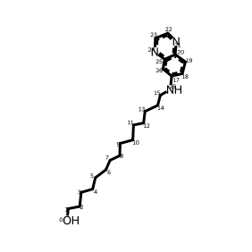 OCCCCCCCCCCCCCCCNc1ccc2nccnc2c1